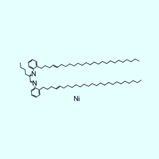 CCCCCCCCCCCCCCCCCCCCC=CCCCc1ccccc1N=CC(CCCC)=Nc1ccccc1CCCC=CCCCCCCCCCCCCCCCCCCCC.[Ni]